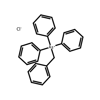 [Cl-].c1ccc(C[As+](c2ccccc2)(c2ccccc2)c2ccccc2)cc1